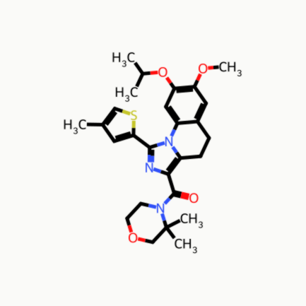 COc1cc2c(cc1OC(C)C)-n1c(-c3cc(C)cs3)nc(C(=O)N3CCOCC3(C)C)c1CC2